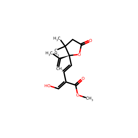 C=C(C)[C@]1(/C=C/C(=C\O)C(=O)OC)OC(=O)CC1(C)C